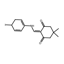 CC1(C)CC(=O)C(=CNC2=CCC(I)C=C2)C(=O)C1